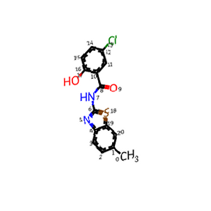 Cc1ccc2nc(NC(=O)c3cc(Cl)ccc3O)sc2c1